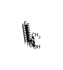 C=CCN(CC(=O)O)S(=O)(=O)C(F)(F)C(F)(F)C(F)(F)C(F)(F)C(F)(F)C(F)(F)C(F)(F)C(F)(F)F